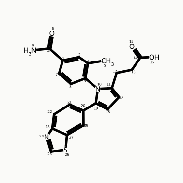 Cc1cc(C(N)=O)ccc1-n1c(CCC(=O)O)ccc1-c1ccc2ncsc2c1